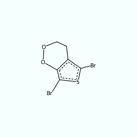 Brc1sc(Br)c2c1CCOO2